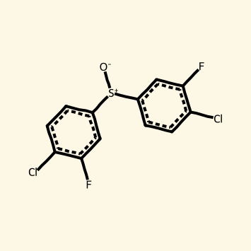 [O-][S+](c1ccc(Cl)c(F)c1)c1ccc(Cl)c(F)c1